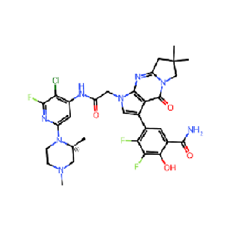 C[C@H]1CN(C)CCN1c1cc(NC(=O)Cn2cc(-c3cc(C(N)=O)c(O)c(F)c3F)c3c(=O)n4c(nc32)CC(C)(C)C4)c(Cl)c(F)n1